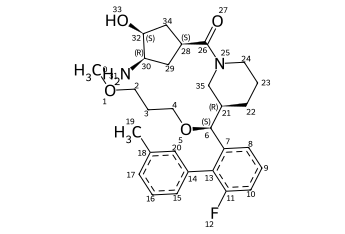 COCCCO[C@H](c1cccc(F)c1-c1cccc(C)c1)[C@@H]1CCCN(C(=O)[C@H]2C[C@@H](N)[C@@H](O)C2)C1